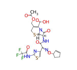 CC(=O)OCC1=C(C(=O)O)N2C(=O)[C@@H](NC(=O)C(=NOC3C=CCC3)c3csc(NC(=O)C(F)(F)F)n3)[C@H]2SC1